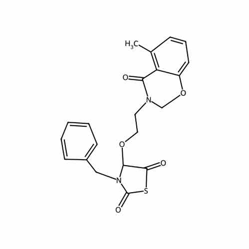 Cc1cccc2c1C(=O)N(CCOC1C(=O)SC(=O)N1Cc1ccccc1)CO2